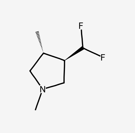 C[C@H]1CN(C)C[C@@H]1C(F)F